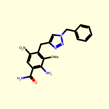 COc1c(N)c(C(N)=O)cc([N+](=O)[O-])c1Cc1cn(Cc2ccccc2)nn1